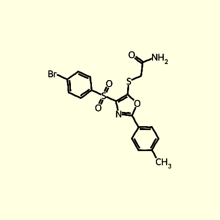 Cc1ccc(-c2nc(S(=O)(=O)c3ccc(Br)cc3)c(SCC(N)=O)o2)cc1